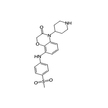 CS(=O)(=O)c1ccc(Nc2cccc3c2OCC(=O)N3C2CCNCC2)cc1